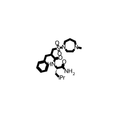 CC(C)C[C@H](NC(=O)C(Cc1ccccc1)CS(=O)(=O)N1CCCN(C)CC1)C(N)=O